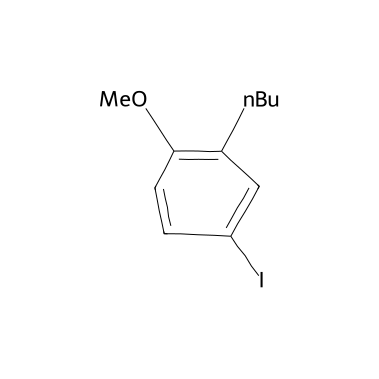 CCCCc1cc(I)ccc1OC